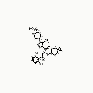 O=C(CN(CC1CCC2(CC1)CC2)C(=O)c1cnn([C@H]2CC[C@H](C(=O)O)CC2)c1C(F)(F)F)c1c(Cl)cncc1Cl